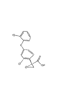 O=C(O)C1(c2ccc(Oc3ccccc3Cl)cc2Cl)CO1